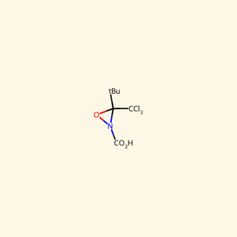 CC(C)(C)C1(C(Cl)(Cl)Cl)ON1C(=O)O